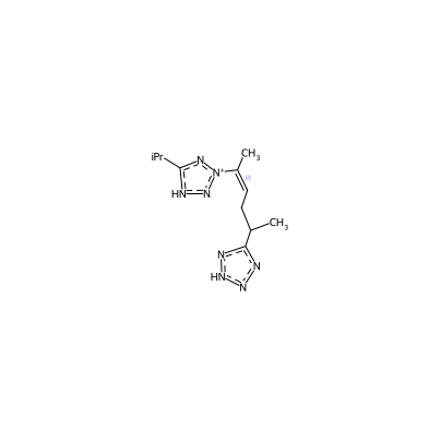 C/C(=C/CC(C)c1nn[nH]n1)[n+]1n[nH]c(C(C)C)n1